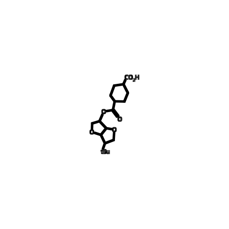 CC(C)(C)C1COC2C(OC(=O)C3CCC(C(=O)O)CC3)COC21